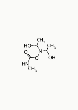 CNC(=O)ON(C(C)O)C(C)O